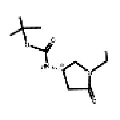 CCN1C[C@@H](NC(=O)OC(C)(C)C)CC1=O